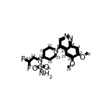 COc1cc2nncc(N3CCC(N(CC(F)F)S(N)(=O)=O)CC3)c2cc1OC